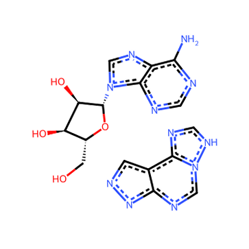 Nc1ncnc2c1ncn2[C@@H]1O[C@H](CO)[C@@H](O)[C@H]1O.c1nc2c3cnnc-3ncn2[nH]1